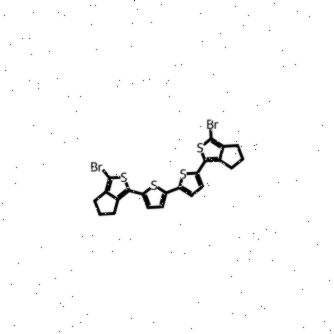 Brc1sc(-c2ccc(-c3ccc(-c4sc(Br)c5c4CCC5)s3)s2)c2c1CCC2